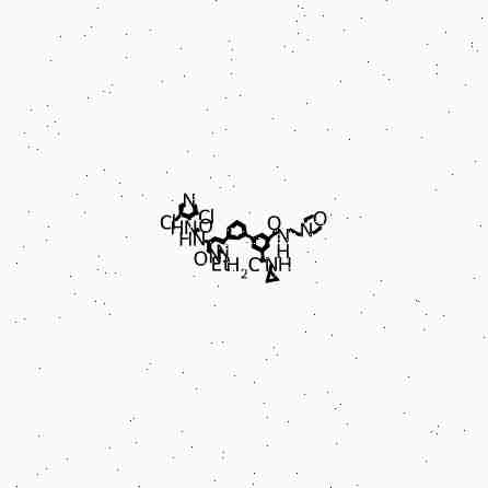 C=C(NC1CC1)c1cc(C(=O)NCCN2CCOCC2)cc(-c2cccc(-c3cc(NC(=O)Nc4c(Cl)cncc4Cl)c(=O)n(CC)n3)c2)c1